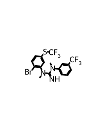 CN(C(=N)N(C)c1cc(SC(F)(F)F)ccc1Br)c1cccc(C(F)(F)F)c1